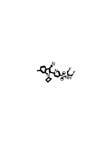 Cc1ccc2c(C#N)c(-c3ccc(S(=O)(=O)NC(CF)CF)cn3)n(C3CCC3)c2c1